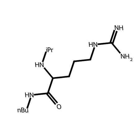 CCCCNC(=O)C(CCCNC(=N)N)NC(C)C